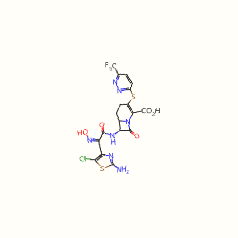 Nc1nc(/C(=N/O)C(=O)N[C@@H]2C(=O)N3C(C(=O)O)=C(Sc4ccc(C(F)(F)F)nn4)CCC23)c(Cl)s1